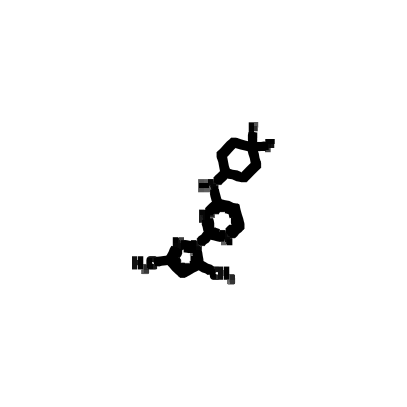 Cc1cc(C)n(-c2nccc(NC3CCC(F)(F)CC3)n2)n1